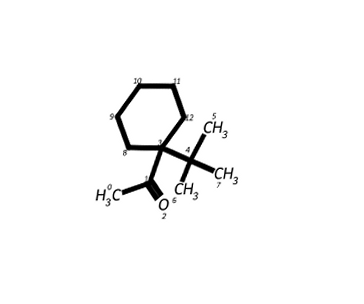 CC(=O)C1(C(C)(C)C)CCCCC1